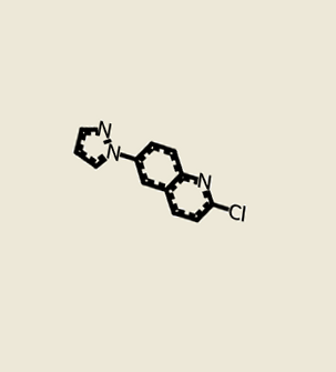 Clc1ccc2cc(-n3cccn3)ccc2n1